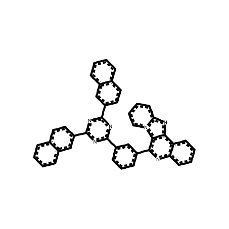 c1cc(-c2nc(-c3ccc4ccccc4c3)nc(-c3ccc4ccccc4c3)n2)cc(-c2nc3ccccc3c3nc4ccccn4c23)c1